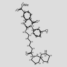 COC(=O)c1ccc2c(=O)n(-c3cccc(Cl)c3)c(SCCCCCC(=O)N3CCCC4(CCCNC4)C3)nc2c1